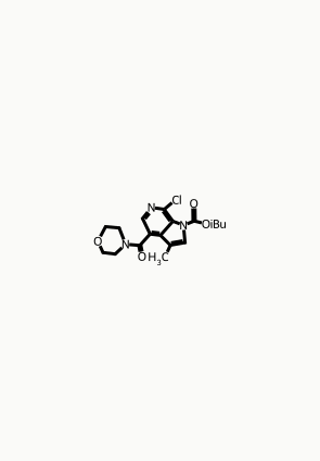 Cc1cn(C(=O)OCC(C)C)c2c(Cl)ncc(C(=O)N3CCOCC3)c12